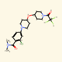 CN(C)C(=O)c1ccc(N2CCC(OC3CCN(C(=O)C(F)(F)F)CC3)CC2)cc1Cl